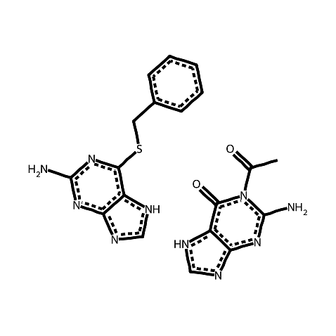 CC(=O)n1c(N)nc2nc[nH]c2c1=O.Nc1nc(SCc2ccccc2)c2[nH]cnc2n1